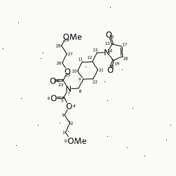 COCCCOC(=O)N(CC1CCC(CN2C(=O)C=CC2=O)CC1)C(=O)OCCCOC